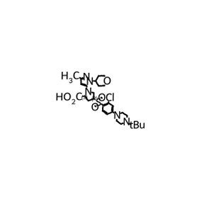 Cc1cc(N2C[C@H](S(=O)(=O)c3ccc(N4CCN(C(C)(C)C)CC4)cc3Cl)C[C@H]2C(=O)O)n(C2CCOCC2)n1